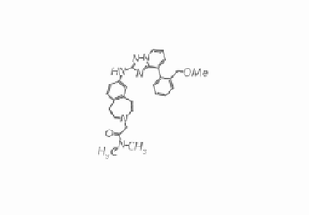 COCc1ccccc1-c1cccn2nc(Nc3ccc4c(c3)CCN(CC(=O)N(C)C)CC4)nc12